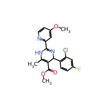 COC(=O)C1=C(C)NC(c2cc(OC)ccn2)=NC1c1ccc(F)cc1Cl